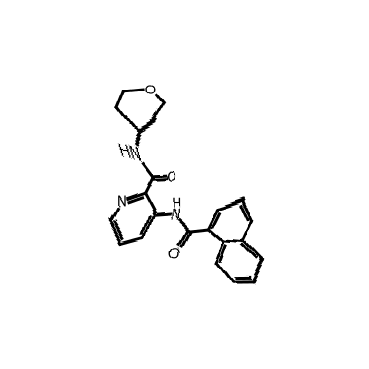 O=C(NC1CCOCC1)c1ncccc1NC(=O)c1cccc2ccccc12